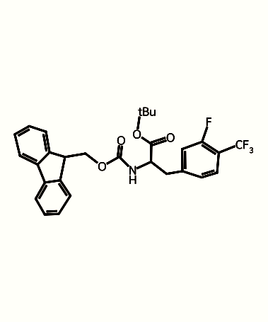 CC(C)(C)OC(=O)C(Cc1ccc(C(F)(F)F)c(F)c1)NC(=O)OCC1c2ccccc2-c2ccccc21